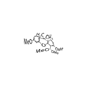 COc1ccc2c(c1)Oc1c(ccc(OC)c1C(OC)OC)C2(C)C